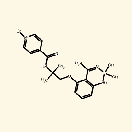 CC(C)(COc1cccc2c1C(N)=NS(O)(O)N2)NC(=O)c1cc[n+]([O-])cc1